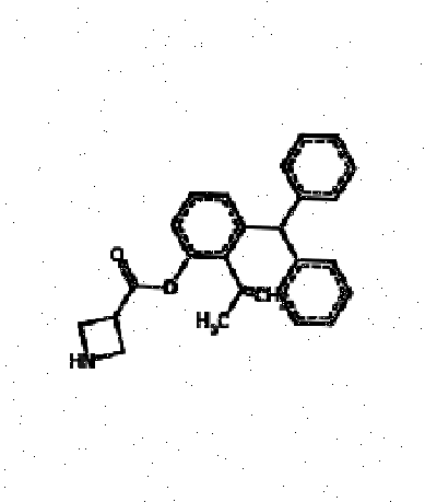 C=C(C)c1c(OC(=O)C2CNC2)cccc1C(c1ccccc1)c1ccccc1